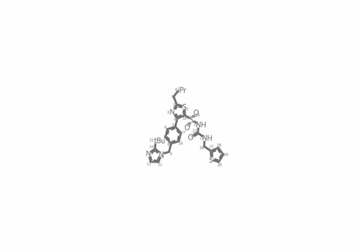 CC(C)Cc1nc(-c2ccc(Cn3ccnc3C(C)(C)C)cc2)c(S(=O)(=O)NC(=O)NCc2cccs2)s1